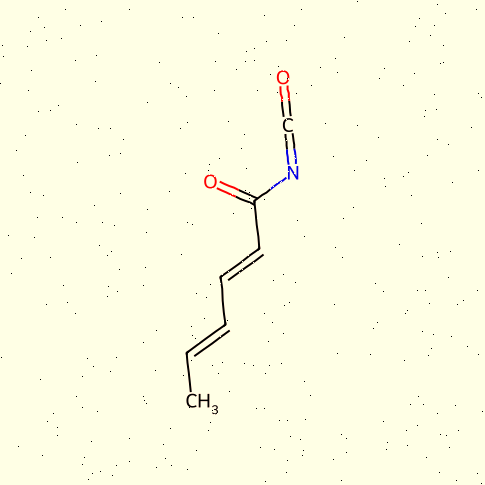 CC=CC=CC(=O)N=C=O